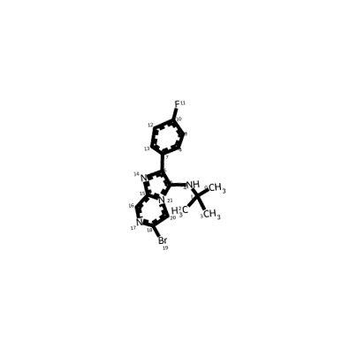 CC(C)(C)Nc1c(-c2ccc(F)cc2)nc2cnc(Br)cn12